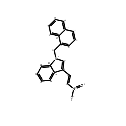 O=[N+]([O-])/C=C/c1cn(Cc2cccc3ccccc23)c2ccccc12